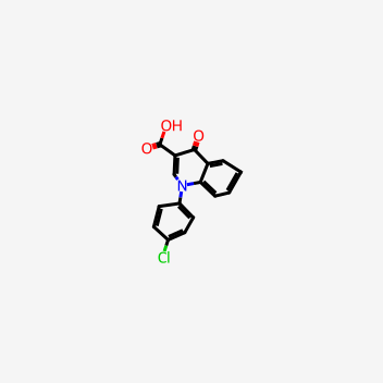 O=C(O)c1cn(-c2ccc(Cl)cc2)c2ccccc2c1=O